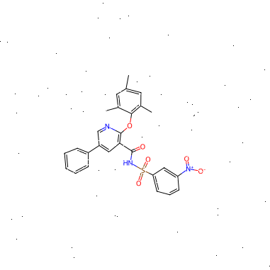 Cc1cc(C)c(Oc2ncc(-c3ccccc3)cc2C(=O)NS(=O)(=O)c2cccc([N+](=O)[O-])c2)c(C)c1